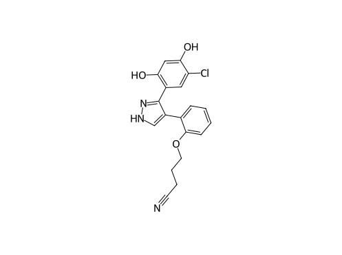 N#CCCCOc1ccccc1-c1c[nH]nc1-c1cc(Cl)c(O)cc1O